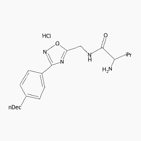 CCCCCCCCCCc1ccc(-c2noc(CNC(=O)C(N)C(C)C)n2)cc1.Cl